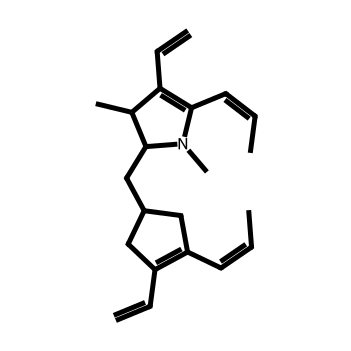 C=CC1=C(/C=C\C)CC(CC2C(C)C(C=C)=C(/C=C\C)N2C)C1